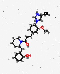 COc1cc(C=CC(=O)N2CCCCC2Cc2ccccc2O)ccc1-n1cnc(C)c1